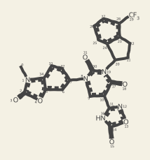 Cn1c(=O)oc2cc(-n3cc(-c4noc(=O)[nH]4)c(=O)n(C4CCc5c4cccc5C(F)(F)F)c3=O)ccc21